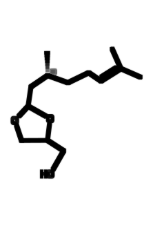 CC(C)=CCC[C@@H](C)CC1OCC(CO)O1